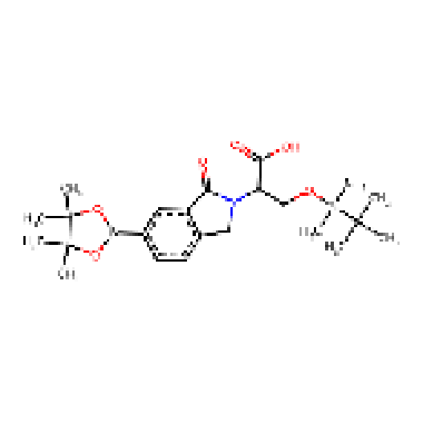 CC1(C)OB(c2ccc3c(c2)C(=O)N(C(CO[Si](C)(C)C(C)(C)C)C(=O)O)C3)OC1(C)C